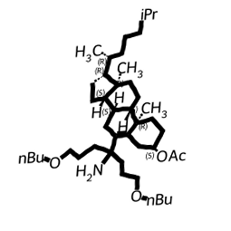 CCCCOCCCC(N)(CCCOCCCC)C1=C2C[C@@H](OC(C)=O)CC[C@]2(C)[C@H]2CC[C@]3(C)[C@@H]([C@H](C)CCCC(C)C)CC[C@H]3[C@@H]2C1